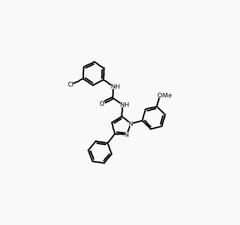 COc1cccc(-n2nc(-c3ccccc3)cc2NC(=O)Nc2cccc(Cl)c2)c1